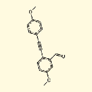 COc1ccc(C#Cc2ccc(OC)cc2C=O)cc1